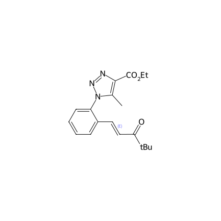 CCOC(=O)c1nnn(-c2ccccc2/C=C/C(=O)C(C)(C)C)c1C